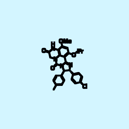 COc1cc(OC(C)C)c2c3c1NC(=O)CN3C(=O)N1C2=N[C@@H](c2ccc(Cl)cc2)C1c1ccc(C)cc1